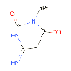 CCCN1C(=O)CC(=N)NC1=O